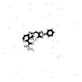 CNC(=O)c1nccc2nn(Cc3nn(-c4ccccc4)nc3C)cc12